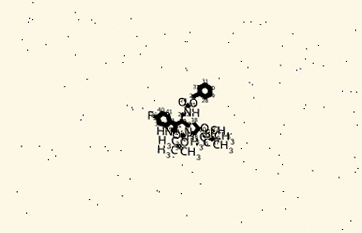 CC(C)(C)OC(=O)N1C[C@H](O[Si](C)(C)C(C)(C)C)C[C@H]1[C@H](CNC(=O)OCc1ccccc1)c1c[nH]c2cc(F)ccc12